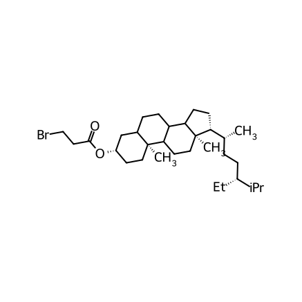 CC[C@H](CC[C@@H](C)[C@H]1CCC2C3CCC4C[C@@H](OC(=O)CCBr)CC[C@]4(C)C3CC[C@@]21C)C(C)C